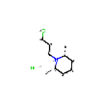 C[C@@H]1CCC[C@H](C)N1CCCCl.Cl